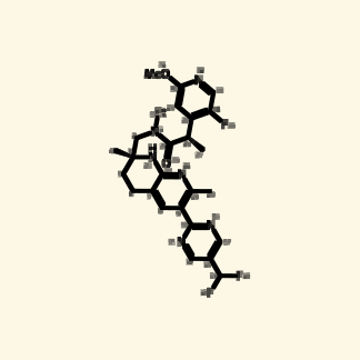 CCN(C[C@@]1(C)CCc2cc(-c3ncc(C(F)F)cn3)c(C)nc2N1)C(=O)[C@H](C)c1cc(OC)ncc1F